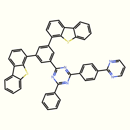 c1ccc(-c2nc(-c3ccc(-c4ncccn4)cc3)nc(-c3cc(-c4cccc5c4sc4ccccc45)cc(-c4cccc5c4sc4ccccc45)c3)n2)cc1